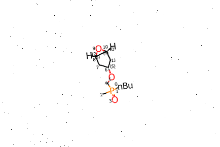 CCCCP(C)(=O)CO[C@H]1C[C@@H]2O[C@@H]2C1